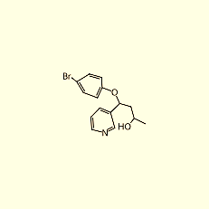 CC(O)CC(Oc1ccc(Br)cc1)c1cccnc1